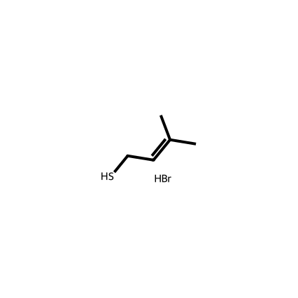 Br.CC(C)=CCS